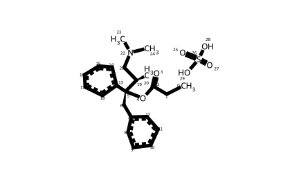 CCC(=O)O[C@](Cc1ccccc1)(c1ccccc1)[C@H](C)CN(C)C.O=S(=O)(O)O